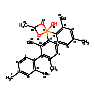 Cc1ccc(-c2c(C)ccc(P3(O)(c4ccc(C)cc4C(C)(C)C)OC(C)O3)c2C(C)(C)C)c(C(C)(C)C)c1